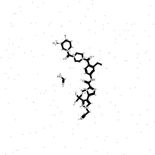 CCc1cc(NC(=O)c2ncc(-c3cn(CC#N)nc3C(F)(F)F)n2C)ccc1C(=O)N1CCN(C(=O)N2CC[C@@H](C)[C@@H](N)C2)CC1.O=CO